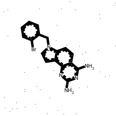 Nc1nc(N)c2ccc3c(ccn3Cc3ccccc3Br)c2n1